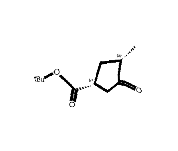 C[C@H]1C[C@@H](C(=O)OC(C)(C)C)CC1=O